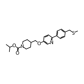 CSCc1ccc(-c2ccc(OCC3CCN(C(=O)OC(C)C)CC3)cn2)cc1